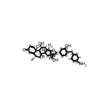 C[C@]12C=CC(=O)C=C1[C@@H](F)C[C@@H]1C2[C@@H](O)C[C@@]2(C)[C@H]1C[C@H]1O[C@@H](c3ccc(Cc4ccc(N)cc4)c(O)c3)O[C@]12C(=O)CO